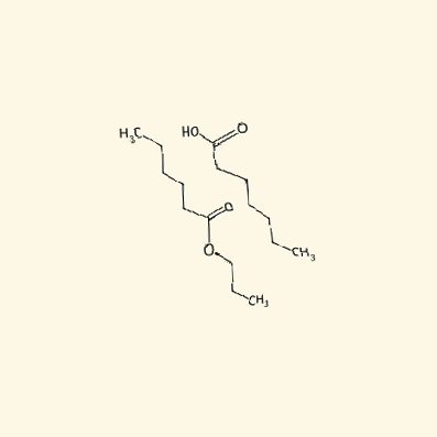 CCCCCC(=O)OCCC.CCCCCCC(=O)O